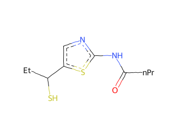 CCCC(=O)Nc1ncc(C(S)CC)s1